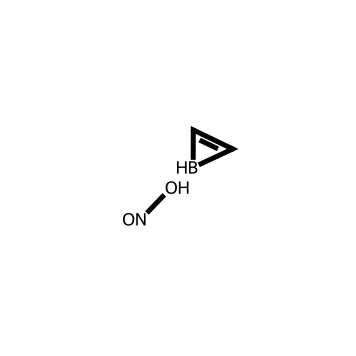 B1C=C1.O=NO